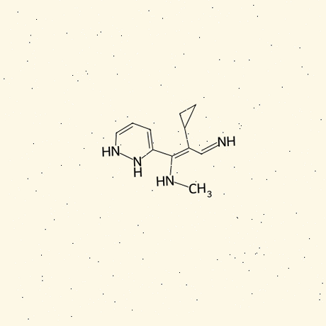 CN/C(C1=CC=CNN1)=C(\C=N)C1CC1